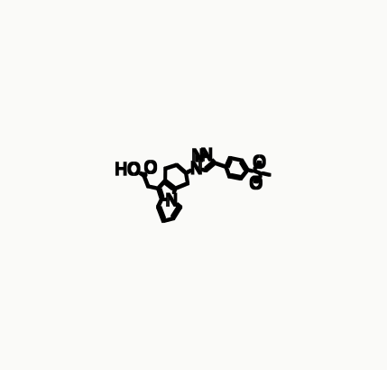 CS(=O)(=O)c1ccc(-c2cn(C3CCc4c(CC(=O)O)c5ccccn5c4C3)nn2)cc1